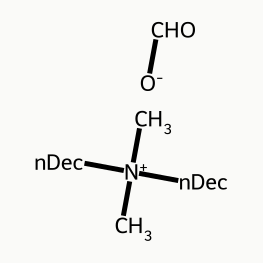 CCCCCCCCCC[N+](C)(C)CCCCCCCCCC.O=C[O-]